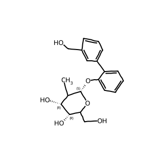 CC1[C@H](Oc2ccccc2-c2cccc(CO)c2)OC(CO)[C@H](O)[C@@H]1O